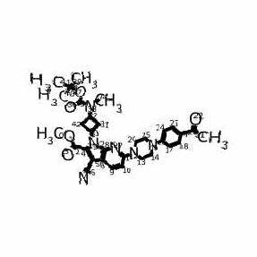 COC(=O)c1c(C#N)c2ccc(N3CCN(c4ccc(C(C)=O)cc4)CC3)nc2n1C1CC(N(C)C(=O)OC(C)(C)C)C1